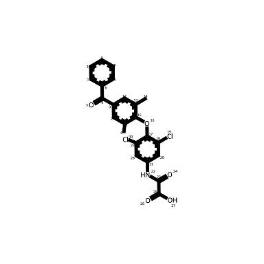 Cc1cc(C(=O)c2ccccc2)cc(C)c1Oc1c(Cl)cc(NC(=O)C(=O)O)cc1Cl